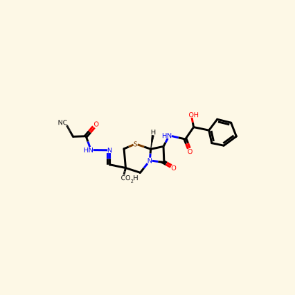 N#CCC(=O)NN=CC1(C(=O)O)CS[C@@H]2C(NC(=O)C(O)c3ccccc3)C(=O)N2C1